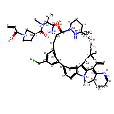 C=CC(=O)N1CC[C@H](C(=O)N(C)[C@H](C(=O)N[C@H]2Cc3cc(CF)cc(c3)-c3ccc4c(c3)c(c(/C(C=C)=C(/N=C\C)[C@H](C)OC)n4CC)CC(C)(C)COC[C@@]3(C=O)CCCN(N3)C2=O)C(C)C)C1